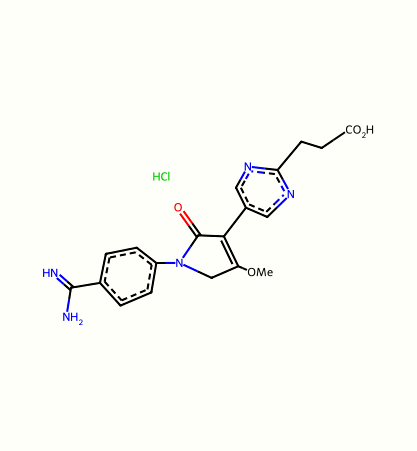 COC1=C(c2cnc(CCC(=O)O)nc2)C(=O)N(c2ccc(C(=N)N)cc2)C1.Cl